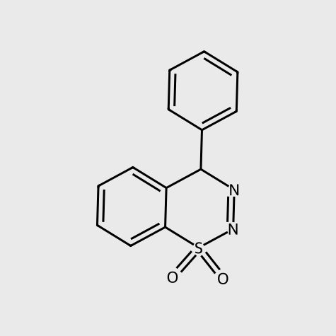 O=S1(=O)N=NC(c2ccccc2)c2ccccc21